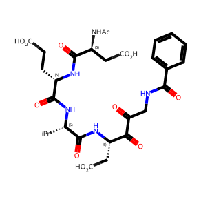 CC(=O)N[C@@H](CC(=O)O)C(=O)N[C@@H](CCC(=O)O)C(=O)N[C@H](C(=O)N[C@@H](CC(=O)O)C(=O)C(=O)CNC(=O)c1ccccc1)C(C)C